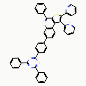 c1ccc(-c2nc(-c3ccccc3)nc(-c3ccc(-c4ccc5c(c4)nc(-c4ccccc4)c4sc(-c6ccccn6)c(-c6ccccn6)c45)cc3)n2)cc1